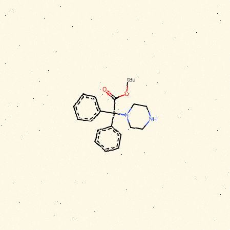 CC(C)(C)OC(=O)C(c1ccccc1)(c1ccccc1)N1CCNCC1